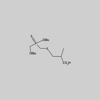 CC(C)COCP(=S)(CSCC(C)C(=O)O)OCC(C)C